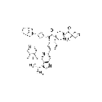 CC(C)n1cnc2cc(-c3ccc4c(c3)N([C@H]3C[C@@H](N5CC6CCC(C6)C5)C3)C(=O)C43CCN(C(=O)C4(C)COC4)CC3)nc(Nc3ccncc3F)c21